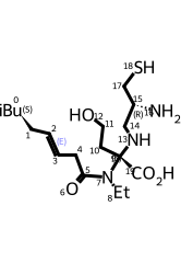 CC[C@H](C)C/C=C/CC(=O)N(CC)[C@](CCO)(NC[C@@H](N)CS)C(=O)O